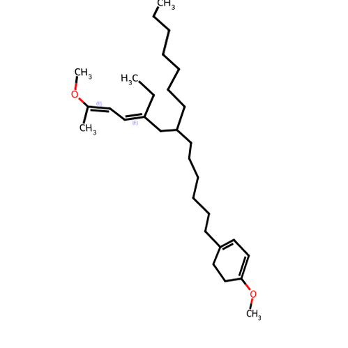 CCCCCCCC(CCCCCCC1=CC=C(OC)CC1)C/C(=C/C=C(\C)OC)CC